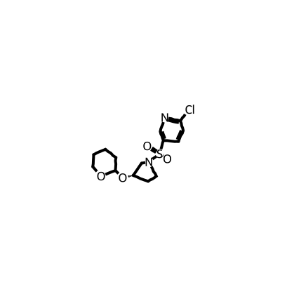 O=S(=O)(c1ccc(Cl)nc1)N1CC[C@H](OC2CCCCO2)C1